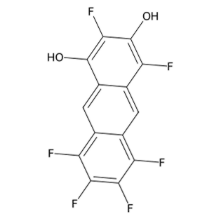 Oc1c(F)c(O)c2cc3c(F)c(F)c(F)c(F)c3cc2c1F